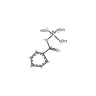 CCCCCCCC[PH](CCCCCCCC)(CCCCCCCC)OC(=O)c1ccccc1